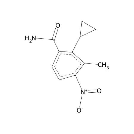 Cc1c([N+](=O)[O-])ccc(C(N)=O)c1C1CC1